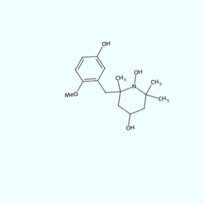 COc1ccc(O)cc1CC1(C)CC(O)CC(C)(C)N1O